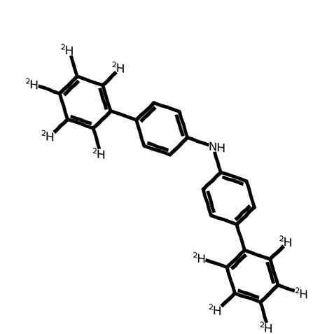 [2H]c1c([2H])c([2H])c(-c2ccc(Nc3ccc(-c4c([2H])c([2H])c([2H])c([2H])c4[2H])cc3)cc2)c([2H])c1[2H]